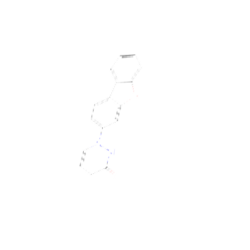 O=C1CC=CN(c2ccc3c(c2)oc2ccccc23)N1